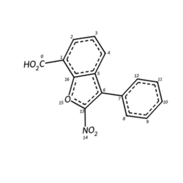 O=C(O)c1cccc2c(-c3ccccc3)c([N+](=O)[O-])oc12